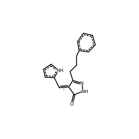 O=C1NN=C(CCCc2ccccc2)/C1=C\c1ccc[nH]1